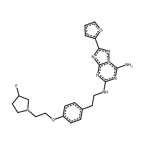 Nc1nc(NCCc2ccc(OCCN3CCC(F)C3)cc2)nc2nc(-c3ccco3)nn12